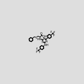 O=C(O)C(CSCc1ccccc1)Nc1nc(Nc2ccc(C(F)(F)F)cc2)nc(-c2ccc(C(F)(F)F)cc2)n1